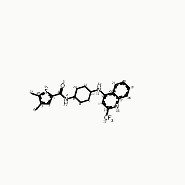 Cc1cc(C(=O)NC2CCC(Nc3cc(C(F)(F)F)nc4ccccc34)CC2)sc1C